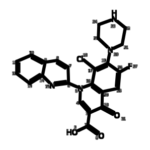 O=C(O)c1cn(-c2ccc3ccccc3n2)c2c(Cl)c(N3CCNCC3)c(F)cc2c1=O